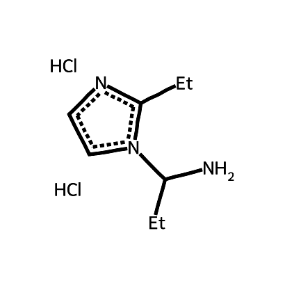 CCc1nccn1C(N)CC.Cl.Cl